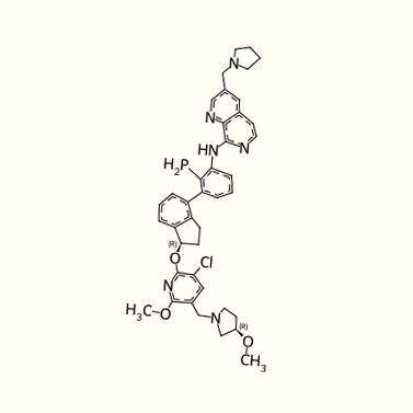 COc1nc(O[C@@H]2CCc3c(-c4cccc(Nc5nccc6cc(CN7CCCC7)cnc56)c4P)cccc32)c(Cl)cc1CN1CC[C@@H](OC)C1